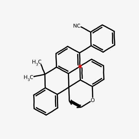 CC1(C)c2ccccc2C2(c3ccccc3Oc3ccccc32)c2cc(-c3ccccc3C#N)ccc21